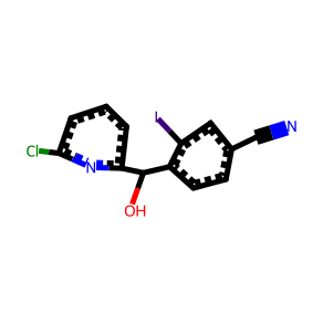 N#Cc1ccc(C(O)c2cccc(Cl)n2)c(I)c1